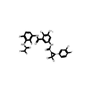 Cc1cc(NC(=O)[C@H]2[C@H](c3ccc(F)c(Cl)c3)C2(Cl)Cl)cc(C(=O)Nc2ccc(F)c(NC(=O)C(F)F)c2F)c1Cl